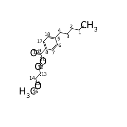 CCCCCc1ccc(C(=O)OO[CH]COC)cc1